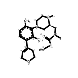 CN(C[C@H]1CN(c2c(N)ccc(C3=CCOCC3)c2C(F)(F)F)CCN1C)C(=O)OC(C)(C)C